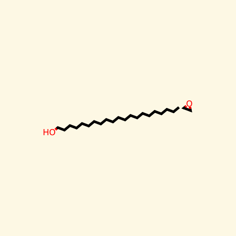 C1CO1.CCCCCCCCCCCCCCCCCCCCCO